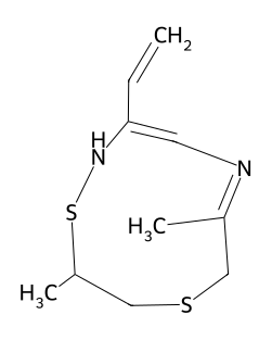 C=C/C1=C/N=C(\C)CSCC(C)SN1